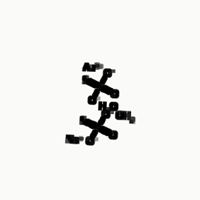 O.O.O=S([O-])([O-])=S.O=S([O-])([O-])=S.[Au+3].[Na+]